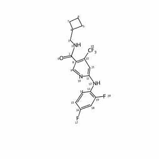 O=C(NCC1CCC1)c1cnc(Nc2ccc(F)cc2F)cc1C(F)(F)F